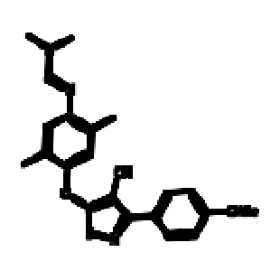 COc1ccc(-c2nsc(Oc3cc(C)c(N=CN(C)C)cc3C)c2C#N)cc1